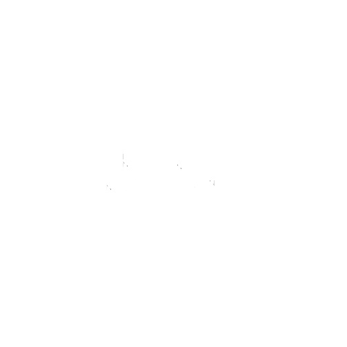 Cc1cc2[nH]c[n+](Cc3cc(C(C)C)cc4nc[nH]c34)c2cc1C(C)C